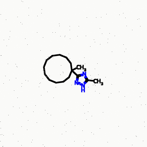 Cc1nc(C2(C)CCCCCCCCCCC2)n[nH]1